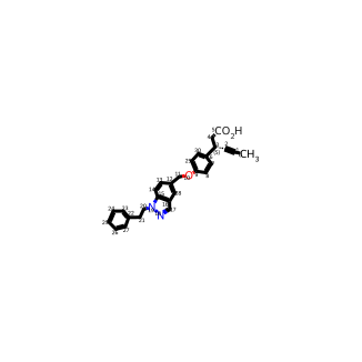 CC#C[C@@H](CC(=O)O)c1ccc(OCc2ccc3c(cnn3CCc3ccccc3)c2)cc1